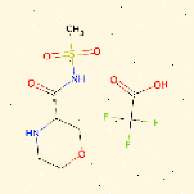 CS(=O)(=O)NC(=O)[C@@H]1COCCN1.O=C(O)C(F)(F)F